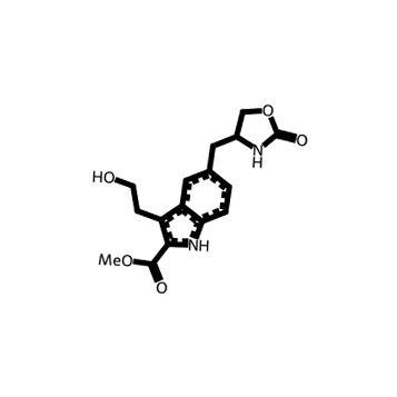 COC(=O)c1[nH]c2ccc(CC3COC(=O)N3)cc2c1CCO